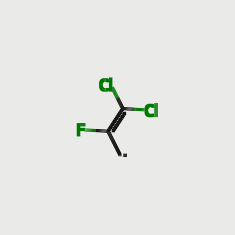 [CH2]C(F)=C(Cl)Cl